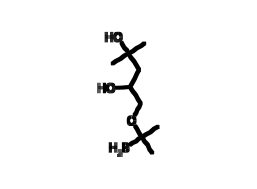 BC(C)(C)OCC(O)CC(C)(C)O